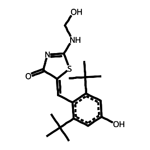 CC(C)(C)c1cc(O)cc(C(C)(C)C)c1C=C1SC(NCO)=NC1=O